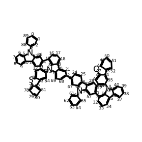 c1ccc(-n2c3ccccc3c3ccc(-c4cccc5c6cc(-c7ccc8c9ccc(-c%10cccc%11c%12ccccc%12n(-c%12ccc%13oc%14ccccc%14c%13c%12)c%10%11)cc9n(-c9ccccc9)c8c7)ccc6n(-c6ccc7sc8ccccc8c7c6)c45)cc32)cc1